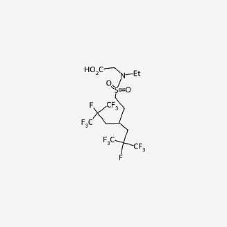 CCN(CC(=O)O)S(=O)(=O)CCC(CC(F)(C(F)(F)F)C(F)(F)F)CC(F)(C(F)(F)F)C(F)(F)F